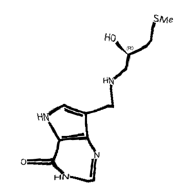 CSC[C@H](O)CNCc1c[nH]c2c(=O)[nH]cnc12